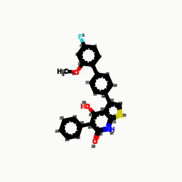 COc1cc(F)ccc1-c1ccc(-c2csc3[nH]c(=O)c(-c4ccccc4)c(O)c23)cc1